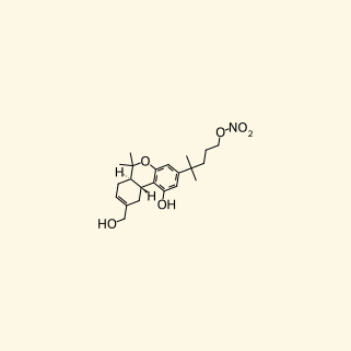 CC(C)(CCCO[N+](=O)[O-])c1cc(O)c2c(c1)OC(C)(C)[C@@H]1CC=C(CO)C[C@@H]21